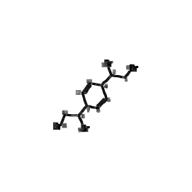 BrCC(Br)C1C=CC(C(Br)CBr)C=C1